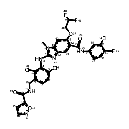 Cn1c(Nc2c(Cl)ccc(CNC(=O)c3ccno3)c2Cl)nc2cc(C(=O)Nc3ccc(F)c(Cl)c3)c(OCC(F)F)cc21